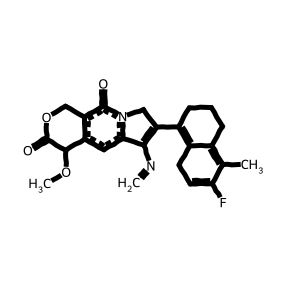 C=NC1=C(C2=C3CC=C(F)C(C)=C3CCC2)Cn2c1cc1c(c2=O)COC(=O)C1OC